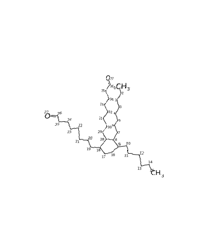 CCCCCCCCC1C(CCCCCC)CCC(CCCCCCCC=O)C1CCCCCCCC=O